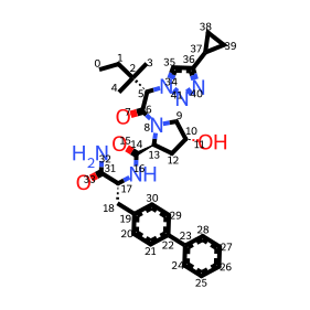 CCC(C)(C)[C@@H](C(=O)N1C[C@H](O)C[C@H]1C(=O)N[C@H](Cc1ccc(-c2ccccc2)cc1)C(N)=O)n1cc(C2CC2)nn1